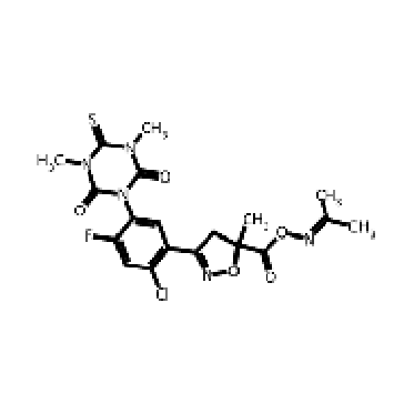 CC(C)=NOC(=O)C1(C)CC(c2cc(-n3c(=O)n(C)c(=S)n(C)c3=O)c(F)cc2Cl)=NO1